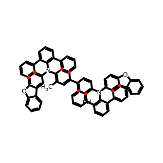 Cc1cc(-c2ccc(N(c3ccc4oc5ccccc5c4c3)c3c(-c4ccccc4)cccc3-c3ccccc3)c(C)c2)ccc1N(c1ccc2oc3ccccc3c2c1)c1c(-c2ccccc2)cccc1-c1ccccc1